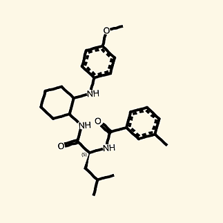 COc1ccc(NC2CCCCC2NC(=O)[C@H](CC(C)C)NC(=O)c2cccc(C)c2)cc1